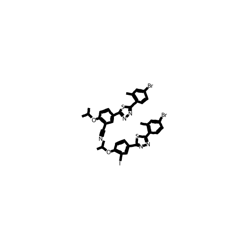 Cc1cc(Br)ccc1-c1nnc(-c2ccc(OC(C)C)c(C#N)c2)s1.Cc1cc(Br)ccc1-c1nnc(-c2ccc(OC(C)C)c(I)c2)s1